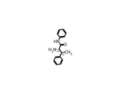 C[C@@H](c1ccccc1)[C@H](N)C(=O)Nc1ccccc1